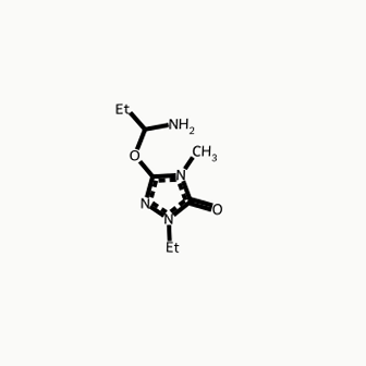 CCC(N)Oc1nn(CC)c(=O)n1C